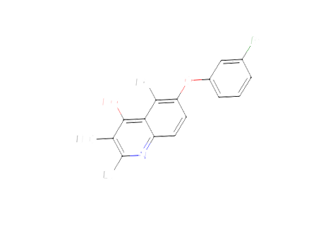 CCc1nc2ccc(Oc3cccc(Br)c3)c(C)c2c(O)c1C